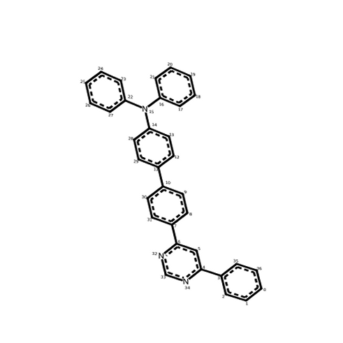 c1ccc(-c2cc(-c3ccc(-c4ccc(N(c5ccccc5)c5ccccc5)cc4)cc3)ncn2)cc1